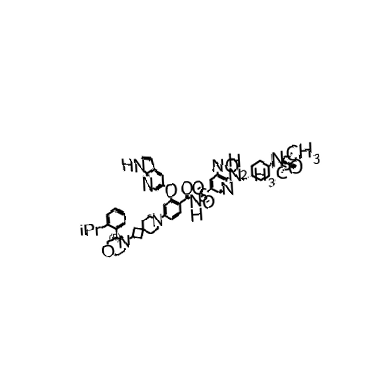 CC(C)c1ccccc1[C@@H]1COCCN1C1CC2(CCN(c3ccc(C(=O)NS(=O)(=O)c4cnc(NC[C@H]5CC[C@H](N=S(C)(C)=O)CC5)c([N+](=O)[O-])c4)c(Oc4cnc5[nH]ccc5c4)c3)CC2)C1